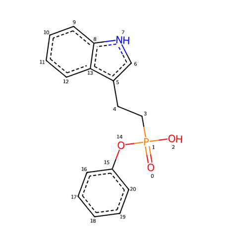 O=P(O)(CCc1c[nH]c2ccccc12)Oc1ccccc1